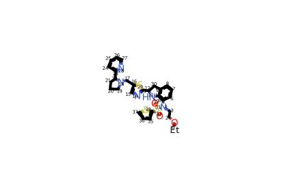 CCOCCN(c1cccc2c1NC(c1ncc(CN3CCCC3c3ccccn3)s1)C2)S(=O)(=O)c1cccs1